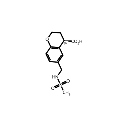 CS(=O)(=O)NCc1ccc2c(c1)[C@H](C(=O)O)CCO2